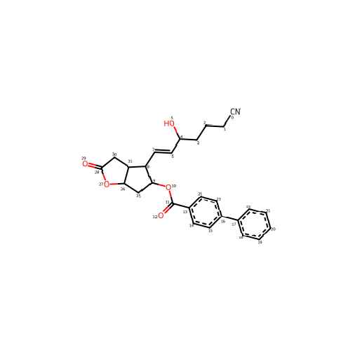 N#CCCCC(O)C=CC1C(OC(=O)c2ccc(-c3ccccc3)cc2)CC2OC(=O)CC21